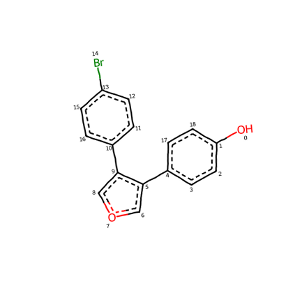 Oc1ccc(-c2cocc2-c2ccc(Br)cc2)cc1